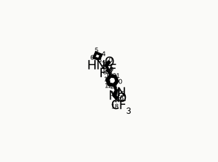 O=C(NC1CCC1)C(F)(F)c1ccc(-c2noc(C(F)(F)F)n2)cc1